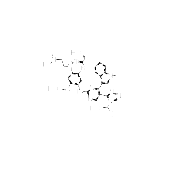 C=CC(=O)Nc1cc(Nc2ncc(-c3nncn3C(C)C)c(-c3cn(C)c4ccccc34)n2)c(OC)cc1N(C)CCN(C)C